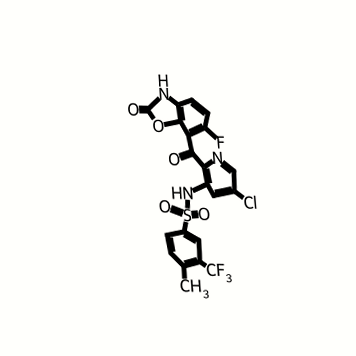 Cc1ccc(S(=O)(=O)Nc2cc(Cl)cnc2C(=O)c2c(F)ccc3[nH]c(=O)oc23)cc1C(F)(F)F